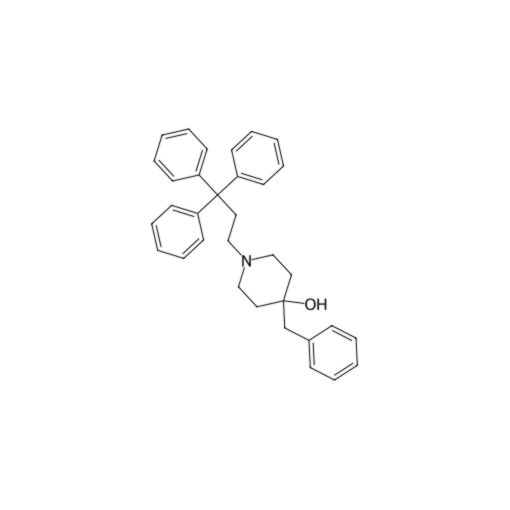 OC1(Cc2ccccc2)CCN(CCC(c2ccccc2)(c2ccccc2)c2ccccc2)CC1